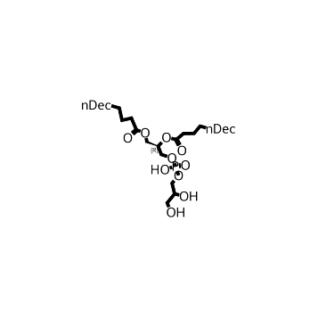 CCCCCCCCCCCCCC(=O)OC[C@H](COP(=O)(O)OCC(O)CO)OC(=O)CCCCCCCCCCCCC